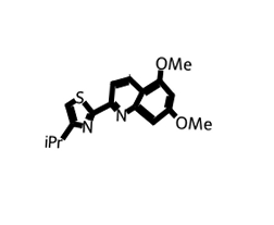 COc1cc(OC)c2[c]cc(-c3nc(C(C)C)cs3)nc2c1